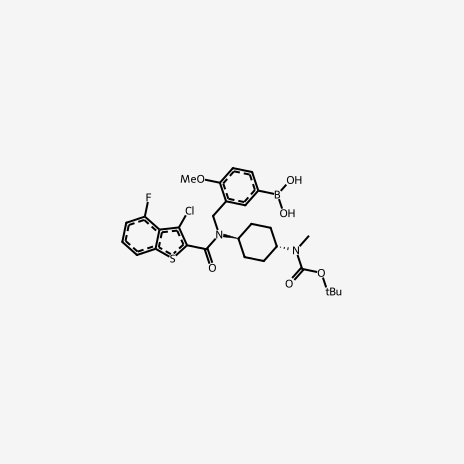 COc1ccc(B(O)O)cc1CN(C(=O)c1sc2cccc(F)c2c1Cl)[C@H]1CC[C@H](N(C)C(=O)OC(C)(C)C)CC1